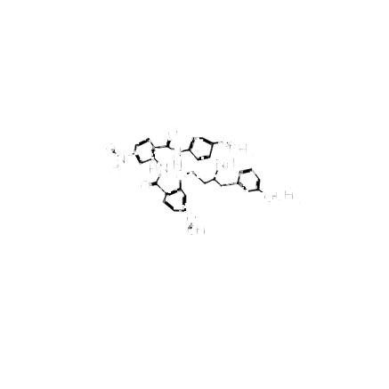 COc1ccc(NC(=O)c2ccc([N+](=O)[O-])cc2NC(=O)c2ccc(OC)cc2OCCC(N)Cc2cccc(OC)c2)cc1